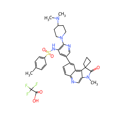 Cc1ccc(S(=O)(=O)Nc2cc(-c3ccc4ncc5c(c4c3)C3(CCC3)C(=O)N5C)cnc2N2CCC(N(C)C)CC2)cc1.O=C(O)C(F)(F)F